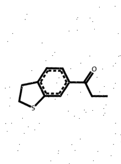 CCC(=O)c1ccc2c(c1)SCC2